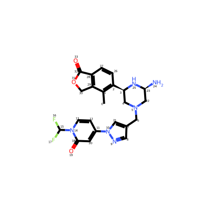 Cc1c([C@@H]2CN(Cc3cnn(-c4ccn(C(F)F)c(=O)c4)c3)C[C@H](N)N2)ccc2c1COC2=O